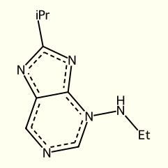 CCNn1cncc2nc(C(C)C)nc1-2